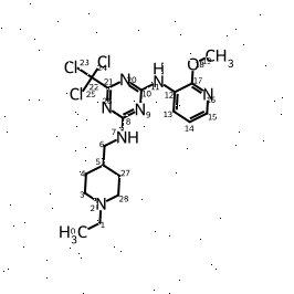 CCN1CCC(CNc2nc(Nc3cccnc3OC)nc(C(Cl)(Cl)Cl)n2)CC1